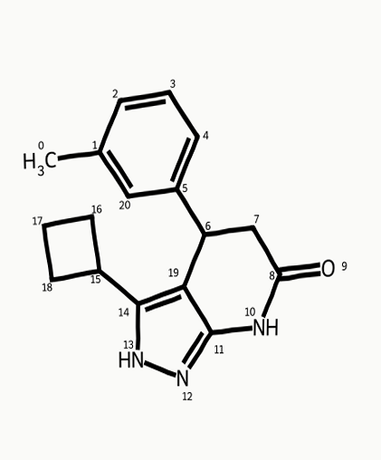 Cc1cccc(C2CC(=O)Nc3n[nH]c(C4CCC4)c32)c1